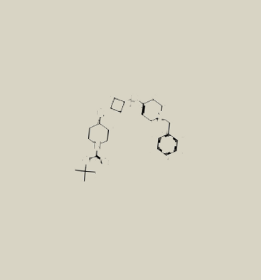 CC(C)(C)OC(=O)N1CCC(O[C@H]2C[C@H](OC3=CCN(Cc4ccccc4)CC3)C2)CC1